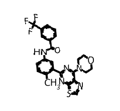 Cc1ccc(NC(=O)c2cccc(C(F)(F)F)c2)cc1-c1nc(N2CCOCC2)c2ncsc2n1